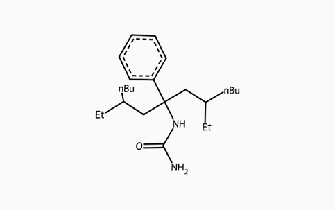 CCCCC(CC)CC(CC(CC)CCCC)(NC(N)=O)c1ccccc1